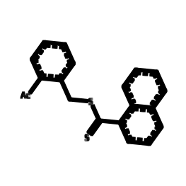 CC(=O)c1ccccc1CSC(=S)c1cccc2ccccc12